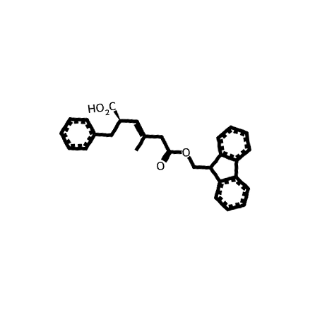 C/C(=C\[C@@H](Cc1ccccc1)C(=O)O)CC(=O)OCC1c2ccccc2-c2ccccc21